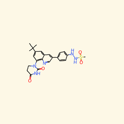 CC(C)(C)c1cc(N2CCC(=O)NC2=O)c2ncc(-c3ccc(NNS(C)(=O)=O)cc3)cc2c1